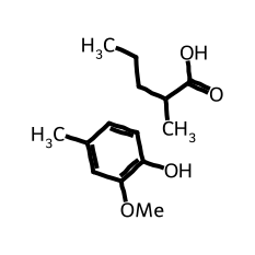 CCCC(C)C(=O)O.COc1cc(C)ccc1O